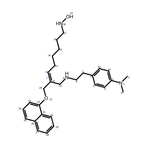 CN(C)c1ccc(CCNC/C(=C\CCCCCNO)COc2cccc3ccccc23)cc1